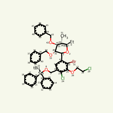 CC[C@H]1OC(c2cc(CO[Si](c3ccccc3)(c3ccccc3)C(C)(C)C)c(Cl)c(OCCCl)c2Br)[C@H](OCc2ccccc2)[C@@H](OCc2ccccc2)[C@@H]1C